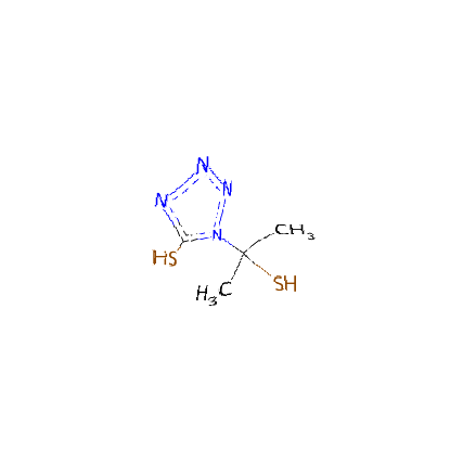 CC(C)(S)n1nnnc1S